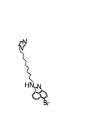 Brc1ccc2c3c(cccc13)C(NCCCCCCCCCCn1ccnc1)=N2